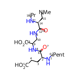 CCCC(C)N[C@@H](CCC(=O)O)C(=O)NC(CNC(=O)[C@H](CNC)NC(C)C)C(=O)O